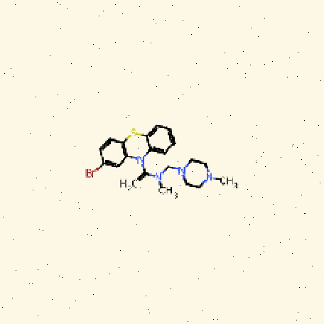 C=C(N(C)CN1CCN(C)CC1)N1c2ccccc2Sc2ccc(Br)cc21